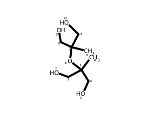 CC(CO)(CO)OC(C)(CO)CO